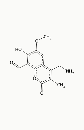 COc1cc2c(CN)c(C)c(=O)oc2c(C=O)c1O